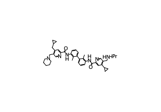 Cc1c(NC(=O)c2cc(CC3CC3)c(CN3CCCCC3)cn2)cccc1-c1cccc(NC(=O)c2cc(C3CC3)c(CNC(C)C)cn2)c1C